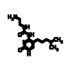 CC(C)CCCc1c[nH]c(=O)nc1NC(=O)NCCN